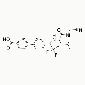 CC(C)CC(NC(c1ccc(-c2ccc(C(=O)O)cc2)cc1)C(F)(F)F)C(=O)NCC#N